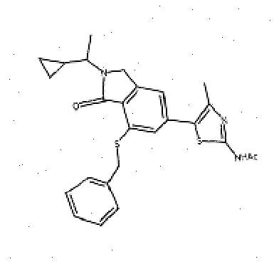 CC(=O)Nc1nc(C)c(-c2cc3c(c(SCc4ccccc4)c2)C(=O)N(C(C)C2CC2)C3)s1